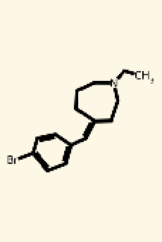 CCN1CCCC(=Cc2ccc(Br)cc2)CC1